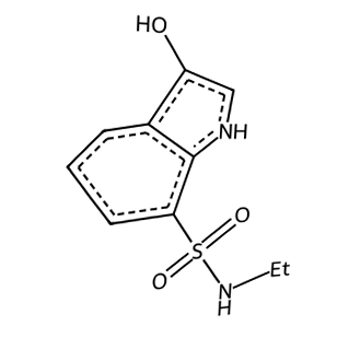 CCNS(=O)(=O)c1cccc2c(O)c[nH]c12